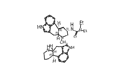 CCN(CC)C(=O)N[C@H]1C[C@@H]2c3cccc4[nH]cc(c34)C[C@H]2N(C)C1.c1cc2c3c(c[nH]c3c1)C[C@H]1NCCC[C@H]21